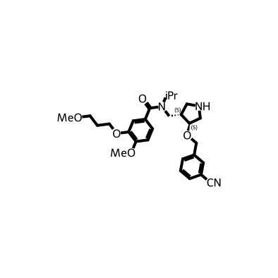 COCCCOc1cc(C(=O)N(C[C@@H]2CNC[C@H]2OCc2cccc(C#N)c2)C(C)C)ccc1OC